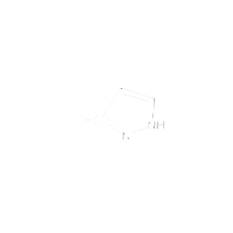 c1c[siH]n[nH]1